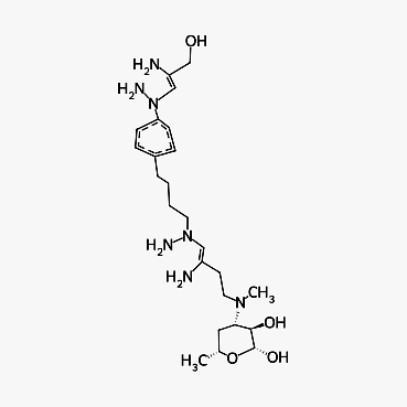 C[C@@H]1C[C@H](N(C)CC/C(N)=C/N(N)CCCCc2ccc(N(N)/C=C(\N)CO)cc2)[C@@H](O)[C@H](O)O1